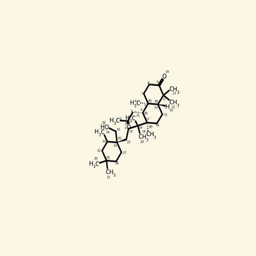 CC(=O)C[C@@H]1[C@@]2(C)CCC(=O)C(C)(C)[C@@H]2CC[C@@]1(C)C(C)(C)CC[C@@]1(CO)CCC(C)(C)CC1C